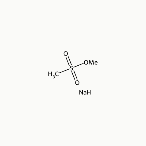 COS(C)(=O)=O.[NaH]